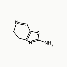 Nc1nc2c(s1)C=NCC2